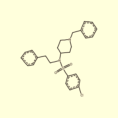 O=S(=O)(c1ccc(Cl)cc1)N(CCc1ccccc1)C1CCN(Cc2ccccc2)CC1